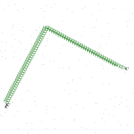 Cl.Cl.Cl.Cl.Cl.Cl.Cl.Cl.Cl.Cl.Cl.Cl.Cl.Cl.Cl.Cl.Cl.Cl.Cl.Cl.Cl.Cl.Cl.Cl.Cl.Cl.Cl.Cl.Cl.Cl.Cl.Cl.Cl.Cl.Cl.Cl.Cl.Cl.Cl.Cl.Cl.Cl.Cl.Cl.Cl.Cl.Cl.Cl.Cl.Cl.Cl.Cl.Cl.Cl.Cl.Cl.Cl.Cl.Cl.Cl.Cl.Cl.Cl.Cl.Cl.Cl.Cl.Cl.Cl.Cl.[Cl-].[Cl-].[Cl-].[K+].[K+].[K+]